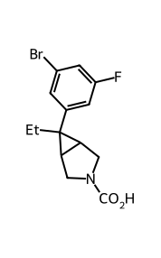 CCC1(c2cc(F)cc(Br)c2)C2CN(C(=O)O)CC21